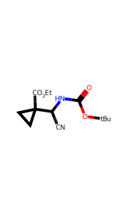 CCOC(=O)C1(C(C#N)NC(=O)OC(C)(C)C)CC1